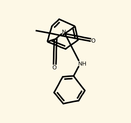 O=c1c2ccc(cc2)c(=O)n1Nc1ccccc1